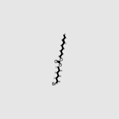 CCC=CCCCCCOC(=O)OCCCCCCBr